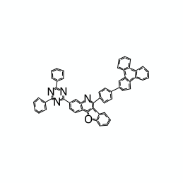 c1ccc(-c2nc(-c3ccccc3)nc(-c3ccc4c(c3)nc(-c3ccc(-c5ccc6c7ccccc7c7ccccc7c6c5)cc3)c3c5ccccc5oc43)n2)cc1